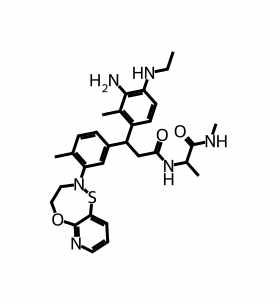 CCNc1ccc(C(CC(=O)NC(C)C(=O)NC)c2ccc(C)c(N3CCOc4ncccc4S3)c2)c(C)c1N